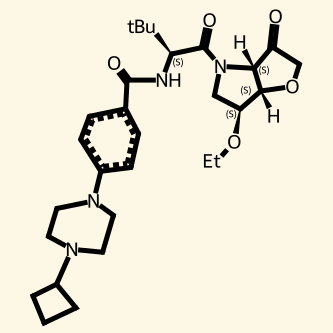 CCO[C@H]1CN(C(=O)[C@@H](NC(=O)c2ccc(N3CCN(C4CCC4)CC3)cc2)C(C)(C)C)[C@@H]2C(=O)CO[C@H]12